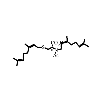 CC(=O)N(CC=C(C)CCC=C(C)C)[C@@H](CSCC=C(C)CCC=C(C)C)C(=O)O